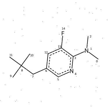 CN(C)c1ncc(CC(C)(C)C)cc1F